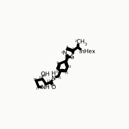 CCCCCCC(C)c1cnc(-c2ccc(CNC(=O)C3NCC[C@@H]3O)cc2)s1